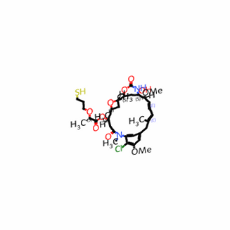 COc1cc2cc(c1Cl)N(C)C(=O)C[C@H](OC(=O)[C@H](C)OCCCS)[C@@]1(C)CC(C)(O1)[C@@H]1C[C@@](O)(NC(=O)O1)[C@H](OC)/C=C/C=C(\C)C2